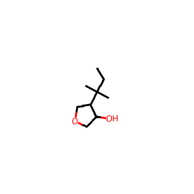 CCC(C)(C)C1COCC1O